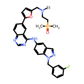 CCN(CCP(C)(C)=O)Cc1ccc(-c2ccc3ncnc(Nc4ccc5c(cnn5Cc5cccc(F)c5)c4)c3c2)o1